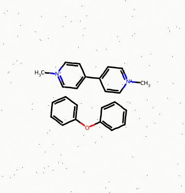 C[n+]1ccc(-c2cc[n+](C)cc2)cc1.c1ccc(Oc2ccccc2)cc1